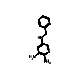 Nc1cc(NCc2ccccc2)cnc1N